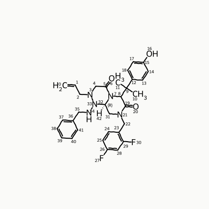 C=CCN1CC(=O)N2C(C(C)(C)c3ccc(O)cc3)C(=O)N(Cc3ccc(F)cc3F)C[C@H]2N1NCc1ccccc1